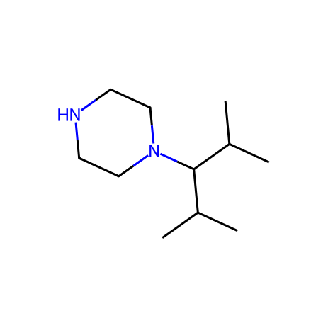 CC(C)C(C(C)C)N1CCNCC1